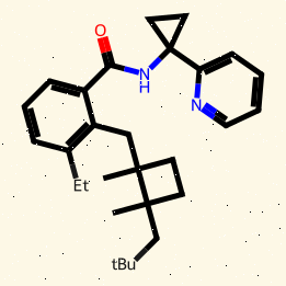 CCc1cccc(C(=O)NC2(c3ccccn3)CC2)c1CC1(C)CCC1(C)CC(C)(C)C